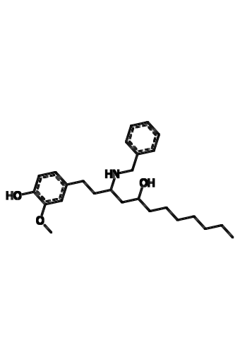 CCCCCCCC(O)CC(CCc1ccc(O)c(OC)c1)NCc1ccccc1